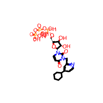 O=c1ccn([C@@H]2O[C@H](COP(=O)(O)OP(=O)(O)OP(=O)(O)O)C(O)[C@@H]2O)c(=O)n1Cc1cc(C2CCCCC2)ccn1